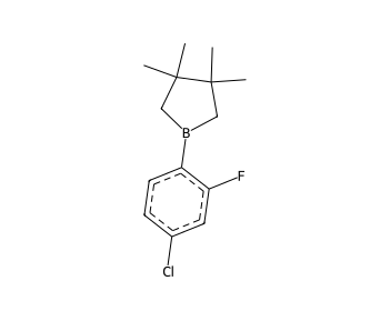 CC1(C)CB(c2ccc(Cl)cc2F)CC1(C)C